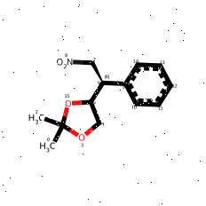 CC1(C)OCC([C@@H](C[N+](=O)[O-])c2ccccc2)O1